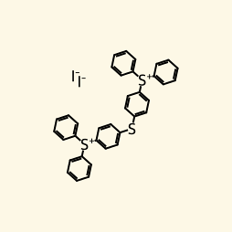 [I-].[I-].c1ccc([S+](c2ccccc2)c2ccc(Sc3ccc([S+](c4ccccc4)c4ccccc4)cc3)cc2)cc1